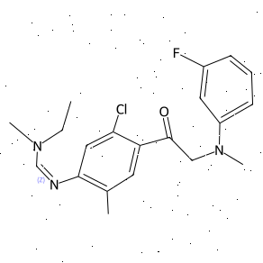 CCN(C)/C=N\c1cc(Cl)c(C(=O)CN(C)c2cccc(F)c2)cc1C